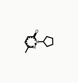 Cc1ccc(=O)n(C2CCCC2)n1